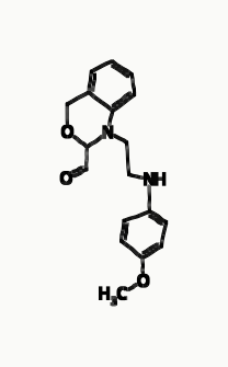 COc1ccc(NCCN2c3ccccc3COC2C=O)cc1